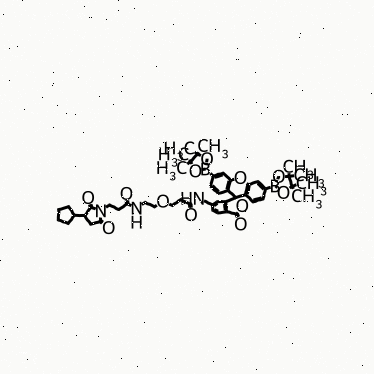 CC1(C)OB(c2ccc3c(c2)Oc2cc(B4OC(C)(C)C(C)(C)O4)ccc2C32OC(=O)c3ccc(NC(=O)CCOCCNC(=O)CCN4C(=O)CC(C5CCCC5)C4=O)cc32)OC1(C)C